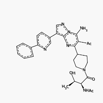 CC(=O)N[C@H](C(=O)N1CCC(c2nc3c(-c4ccc(-c5ccccc5)nc4)cnn3c(N)c2C(C)=O)CC1)[C@@H](C)O